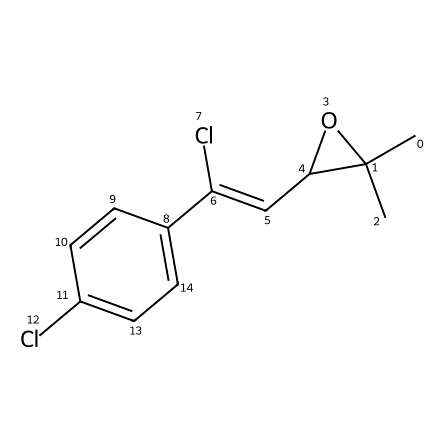 CC1(C)OC1C=C(Cl)c1ccc(Cl)cc1